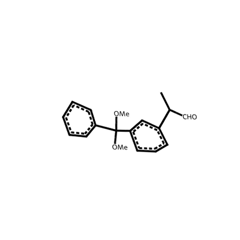 COC(OC)(c1ccccc1)c1cccc(C(C)C=O)c1